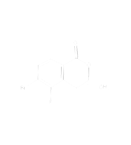 C[C@@H]1Cc2c(ccc(Br)c2F)C(=O)O1